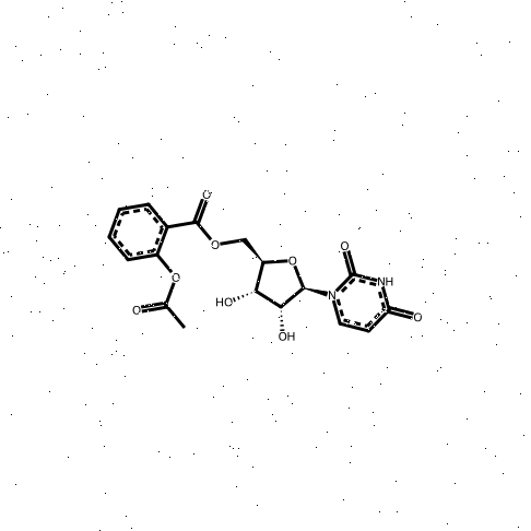 CC(=O)Oc1ccccc1C(=O)OC[C@H]1O[C@@H](n2ccc(=O)[nH]c2=O)[C@H](O)[C@@H]1O